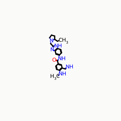 CCC1CCCN1Cc1nc2cc(NC(=O)c3ccc(NC)c(C=N)c3)ccc2[nH]1